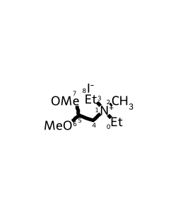 CC[N+](C)(CC)CC(OC)OC.[I-]